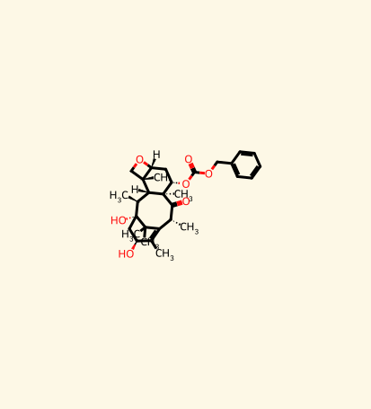 CC1=C2[C@@H](C)C(=O)[C@]3(C)[C@@H](OC(=O)OCc4ccccc4)C[C@H]4OC[C@@]4(C)[C@H]3[C@H](C)[C@](O)(C[C@@H]1O)C2(C)C